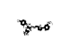 O=[N+]([O-])c1cccc(-c2ccc(C=NNc3nc4nonc4nc3Nc3ccc(Cl)cc3I)o2)c1